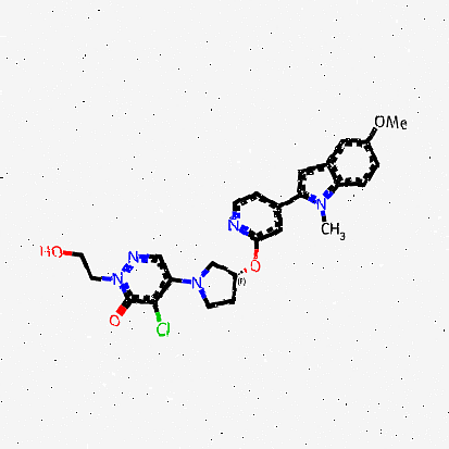 COc1ccc2c(c1)cc(-c1ccnc(O[C@@H]3CCN(c4cnn(CCO)c(=O)c4Cl)C3)c1)n2C